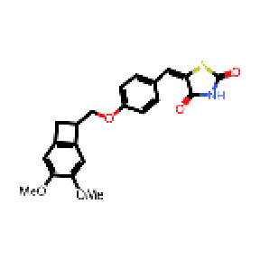 COc1cc2c(cc1OC)C(COc1ccc(C=C3SC(=O)NC3=O)cc1)C2